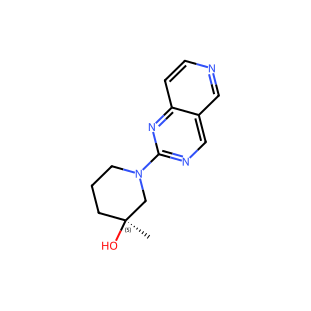 C[C@]1(O)CCCN(c2ncc3cnccc3n2)C1